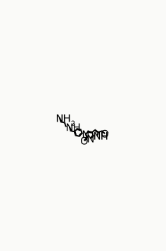 COCc1cc2cn(-c3ccc(CNCCCN)cc3)c(=O)nc2[nH]1